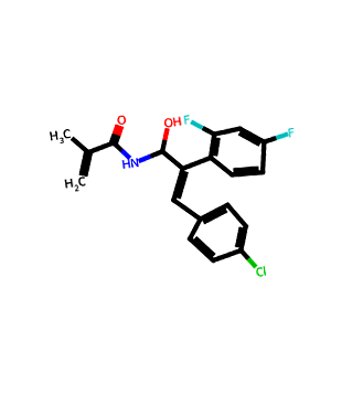 C=C(C)C(=O)NC(O)/C(=C/c1ccc(Cl)cc1)c1ccc(F)cc1F